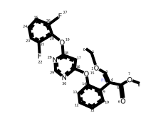 CCO/C=C(/C(=O)OC)c1ccccc1Oc1cc(Oc2c(F)cccc2F)ncn1